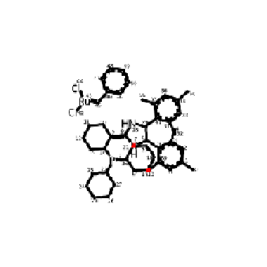 Cc1cc(C)c(C2NC(=C3CCCCC3P(C3CCCCC3)C3CCCCC3)NC2c2c(C)cc(C)cc2C)c(C)c1.[Cl][Ru]([Cl])=[CH]c1ccccc1